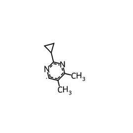 Cc1[c]nc(C2CC2)nc1C